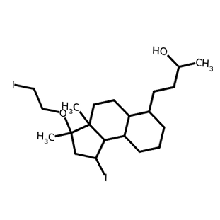 CC(O)CCC1CCCC2C1CCC1(C)C2C(I)CC1(C)OCCI